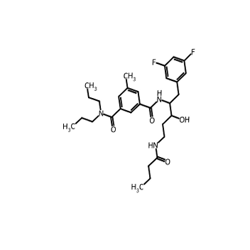 CCCC(=O)NCCC(O)C(Cc1cc(F)cc(F)c1)NC(=O)c1cc(C)cc(C(=O)N(CCC)CCC)c1